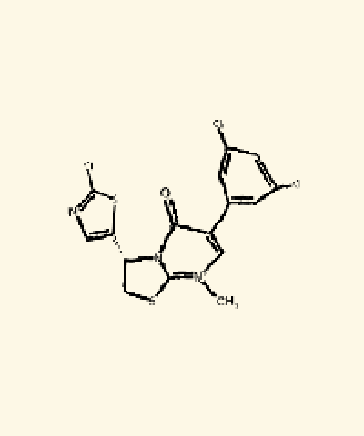 C[n+]1cc(-c2cc(Cl)cc(Cl)c2)c(=O)n2c1SC[C@@H]2c1cnc(Cl)s1